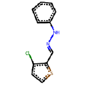 Clc1ccsc1C=NNc1ccccc1